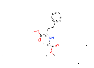 COC(=O)[C@H](C)N[C@@H](CCc1ccccc1)C(=O)OC